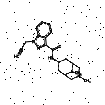 C#CCn1nc(C(=O)NC2CC3CN(C)CC(C2)N3C)c2ccccc21